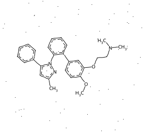 COc1ccc(-c2ccccc2-n2nc(C)cc2-c2ccccc2)cc1OCCN(C)C